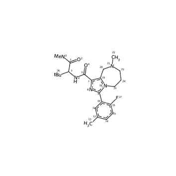 CNC(=O)C(NC(=O)c1nc(-c2cc(C)ccc2F)n2c1CN(C)CCC2)C(C)(C)C